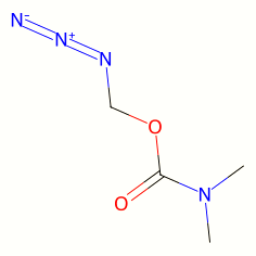 CN(C)C(=O)OCN=[N+]=[N-]